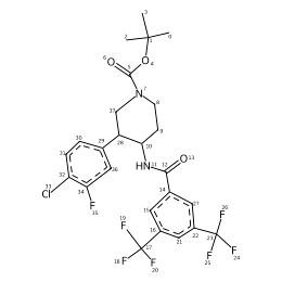 CC(C)(C)OC(=O)N1CCC(NC(=O)c2cc(C(F)(F)F)cc(C(F)(F)F)c2)C(c2ccc(Cl)c(F)c2)C1